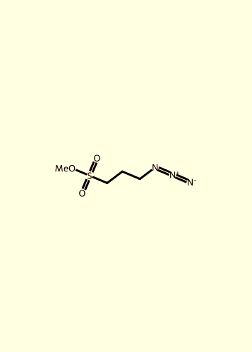 COS(=O)(=O)CCCN=[N+]=[N-]